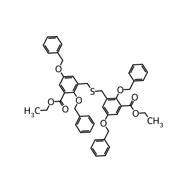 CCOC(=O)c1cc(OCc2ccccc2)cc(CSCc2cc(OCc3ccccc3)cc(C(=O)OCC)c2OCc2ccccc2)c1OCc1ccccc1